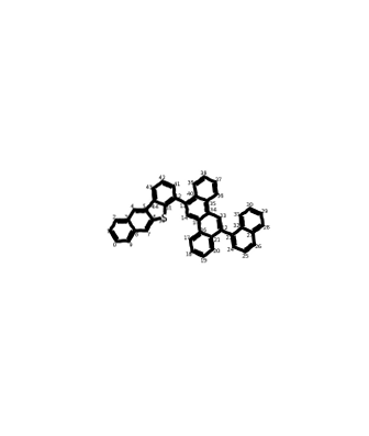 c1ccc2cc3c(cc2c1)sc1c(-c2cc4c5ccccc5c(-c5cccc6ccccc56)cc4c4ccccc24)cccc13